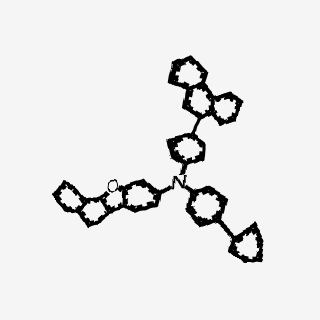 c1ccc(-c2ccc(N(c3ccc(-c4cc5ccccc5c5ccccc45)cc3)c3ccc4c(c3)oc3c5ccccc5ccc43)cc2)cc1